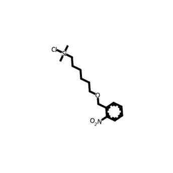 C[Si](C)(Cl)CCCCCCOCc1ccccc1[N+](=O)[O-]